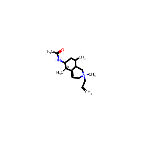 C=CC[N+]1(C)CC=C2C(C1)C(C)CC(NC(=O)C(F)(F)F)[C@@H]2C